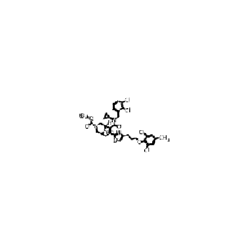 Cc1cc(Cl)c(OCCCc2coc(C3=C(C(=O)N(Cc4cccc(Cl)c4Cl)C4CC4)[C@H]4CN(C(=O)OC(C)(C)C)CC(C3)N4C(=O)O)n2)c(Cl)c1